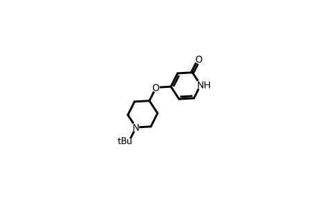 CC(C)(C)N1CCC(Oc2cc[nH]c(=O)c2)CC1